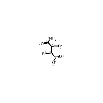 NC(=O)C(Br)C(Br)[N+](=O)[O-]